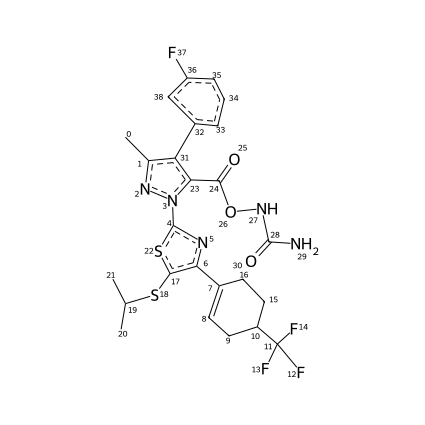 Cc1nn(-c2nc(C3=CCC(C(F)(F)F)CC3)c(SC(C)C)s2)c(C(=O)ONC(N)=O)c1-c1cccc(F)c1